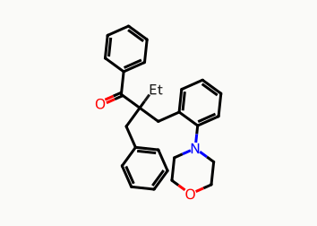 CCC(Cc1ccccc1)(Cc1ccccc1N1CCOCC1)C(=O)c1ccccc1